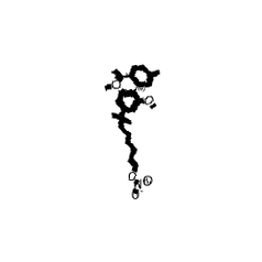 C=C(C)[C@H]1CCC(C)=C[C@@H]1c1c(OC)cc(C(C)(C)CCCCCCO[N+](=O)[O-])cc1OC